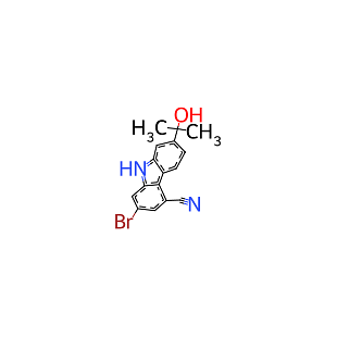 CC(C)(O)c1ccc2c(c1)[nH]c1cc(Br)cc(C#N)c12